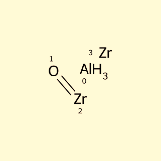 [AlH3].[O]=[Zr].[Zr]